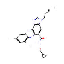 C=CCCn1cnc2c(F)c(Nc3ccc(C)cc3C)c(C(=O)NOCC3CC3)cc21